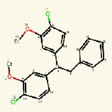 CCOc1cc(B(Cc2ccccc2)c2ccc(Cl)c(OCC)c2)ccc1Cl